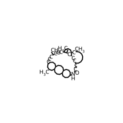 CCC1CCCC2CCCC3CCCC4CCCC(CCCC4CCCC3CC(C)C2)NC(=O)CSC2CCCCCCC(C)CC3CCCC(CCC1)C(CC)CC3CC2